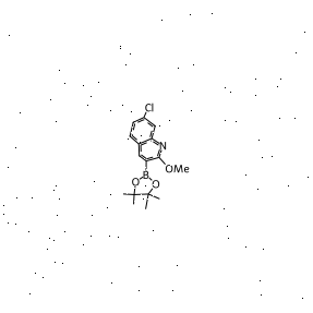 COc1nc2cc(Cl)ccc2cc1B1OC(C)(C)C(C)(C)O1